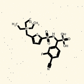 CC[N+](CC)(CC)Cc1ccc(S(=O)(=O)NC(c2ccc(C#N)c(F)c2)P(=O)(O)O)s1